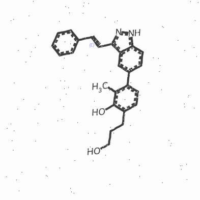 Cc1c(-c2ccc3[nH]nc(/C=C/c4ccccc4)c3c2)ccc(CCCO)c1O